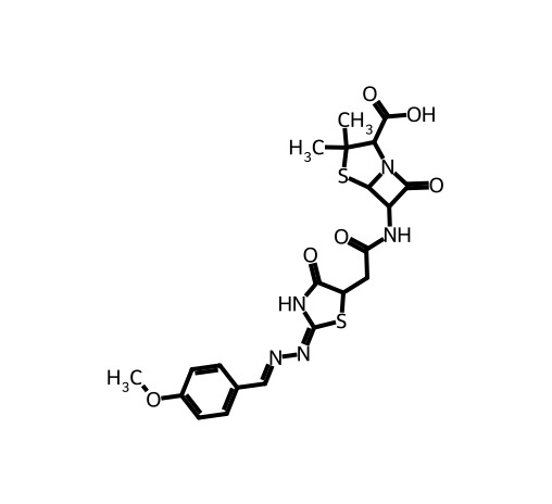 COc1ccc(C=NN=C2NC(=O)C(CC(=O)NC3C(=O)N4C3SC(C)(C)C4C(=O)O)S2)cc1